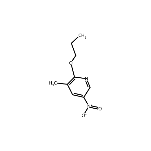 CCCOc1ncc([N+](=O)[O-])cc1C